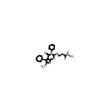 Cc1sc2nc(SCCC(=O)NN)n(-c3ccccc3)c(=O)c2c1-c1ccccc1